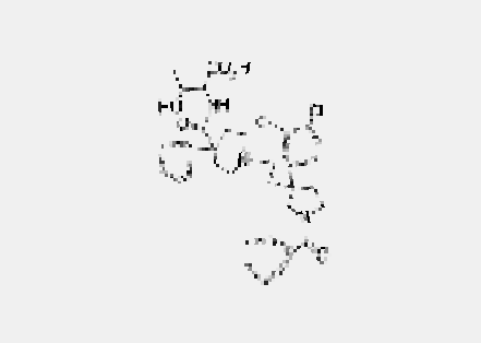 CC(O)C(NC(=O)C1(c2ccccc2)CCN(CCC2(c3ccc(Cl)c(Cl)c3)CCN(C(=O)c3ccccc3)C2)CC1)C(=O)O